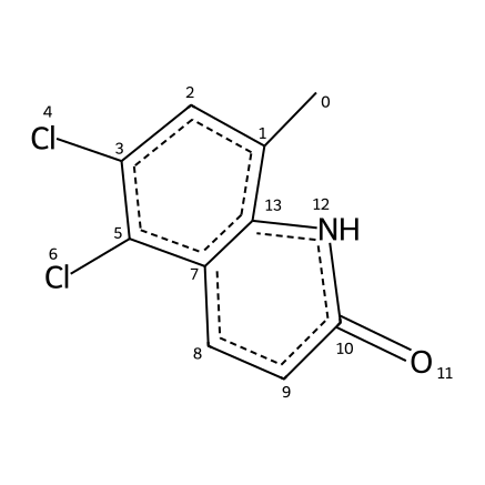 Cc1cc(Cl)c(Cl)c2ccc(=O)[nH]c12